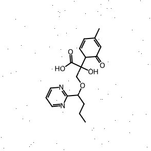 CCCC(OCC(O)(C(=O)O)C1C=CC(C)=CC1=O)c1ncccn1